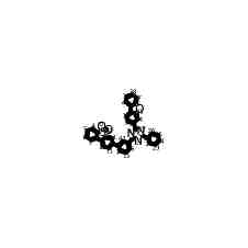 O=S1(=O)c2ccccc2-c2ccc(-c3cccc(-c4nc(-c5ccccc5)nc(-c5ccc6c(c5)oc5ccccc56)n4)c3)cc21